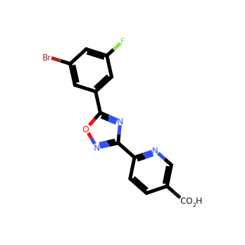 O=C(O)c1ccc(-c2noc(-c3cc(F)cc(Br)c3)n2)nc1